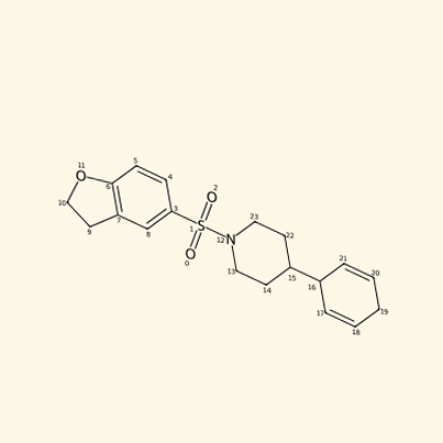 O=S(=O)(c1ccc2c(c1)CCO2)N1CCC(C2C=CCC=C2)CC1